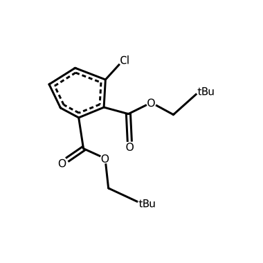 CC(C)(C)COC(=O)c1cccc(Cl)c1C(=O)OCC(C)(C)C